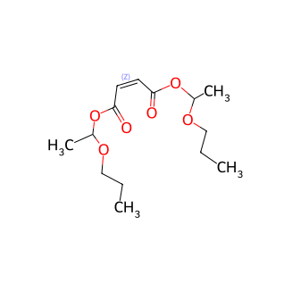 CCCOC(C)OC(=O)/C=C\C(=O)OC(C)OCCC